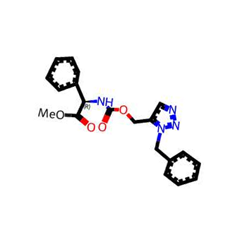 COC(=O)[C@H](NC(=O)OCc1cnnn1Cc1ccccc1)c1ccccc1